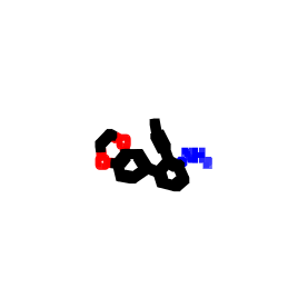 CC#Cc1c(N)cccc1-c1ccc2c(c1)OCCO2